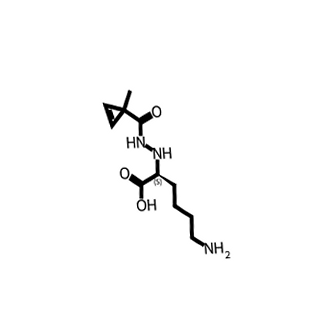 CC1(C(=O)NN[C@@H](CCCCN)C(=O)O)C=C1